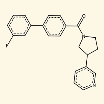 O=C(c1ccc(-c2cccc(F)c2)cc1)N1CCC(c2cccnc2)C1